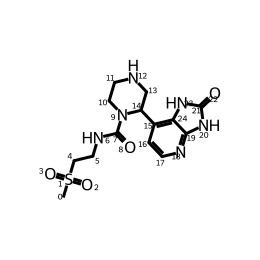 CS(=O)(=O)CCNC(=O)N1CCNCC1c1ccnc2[nH]c(=O)[nH]c12